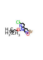 C[Si](C)(C)CCOCn1c2c[n+]([O-])c(Br)cc2c2ccc(Cl)nc21